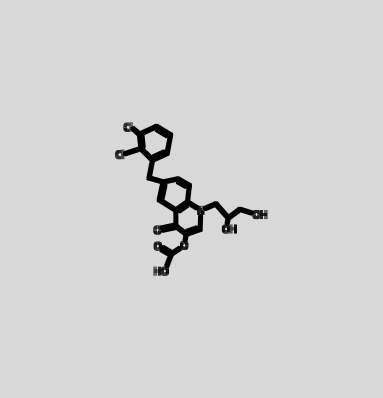 O=C(O)Oc1cn(CC(O)CO)c2ccc(Cc3cccc(Cl)c3Cl)cc2c1=O